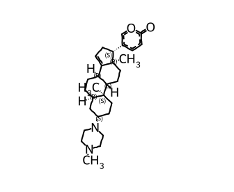 CN1CCN([C@H]2CC[C@@]3(C)[C@H](CC[C@H]4C5=CC[C@H](c6ccc(=O)oc6)[C@@]5(C)CC[C@@H]43)C2)CC1